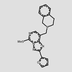 CSc1ncc(CN2CCc3ccccc3C2)c2nc(-c3ccco3)nn12